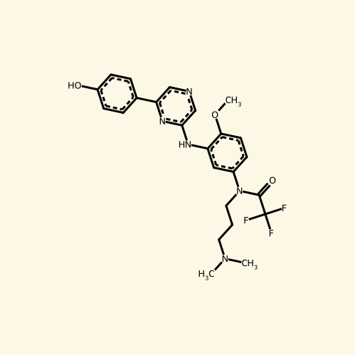 COc1ccc(N(CCCN(C)C)C(=O)C(F)(F)F)cc1Nc1cncc(-c2ccc(O)cc2)n1